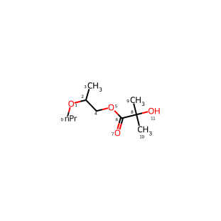 CCCOC(C)COC(=O)C(C)(C)O